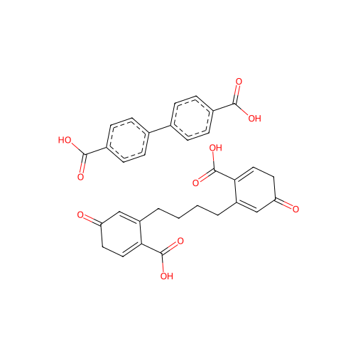 O=C(O)c1ccc(-c2ccc(C(=O)O)cc2)cc1.O=C1C=C(CCCCC2=CC(=O)CC=C2C(=O)O)C(C(=O)O)=CC1